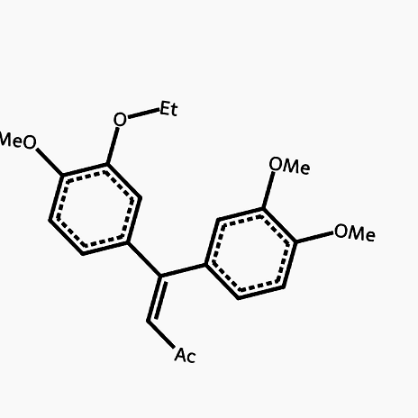 CCOc1cc(C(=CC(C)=O)c2ccc(OC)c(OC)c2)ccc1OC